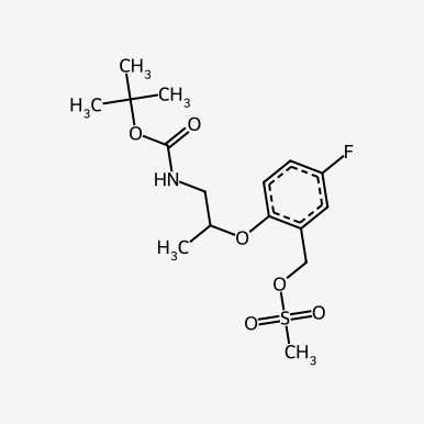 CC(CNC(=O)OC(C)(C)C)Oc1ccc(F)cc1COS(C)(=O)=O